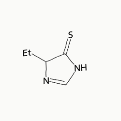 CCC1N=CNC1=S